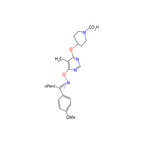 CCCCC/C(=N\Oc1ncnc(OC2CCN(C(=O)O)CC2)c1C)c1ccc(OC)cc1